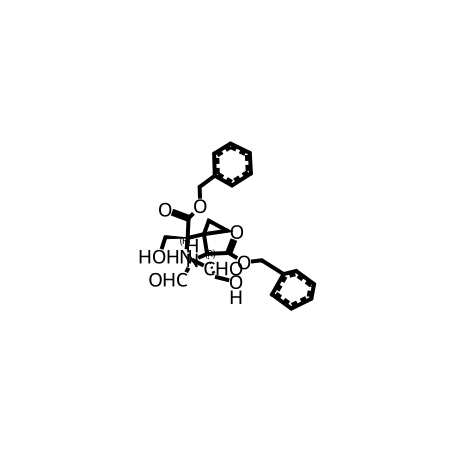 O=CN[C@](CO)(C(=O)OCc1ccccc1)C1([C@](CO)(NC=O)C(=O)OCc2ccccc2)CC1